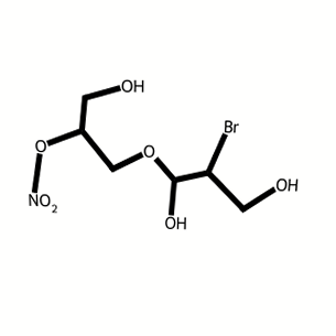 O=[N+]([O-])OC(CO)COC(O)C(Br)CO